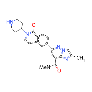 CNC(=O)c1cc(-c2ccc3c(=O)n(C4CCNCC4)ccc3c2)nn2cc(C)nc12